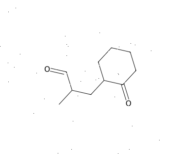 CC(C=O)CC1CCCCC1=O